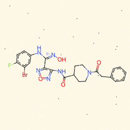 O=C(Nc1nonc1/C(=N\O)Nc1ccc(F)c(Br)c1)C1CCN(C(=O)Cc2ccccc2)CC1